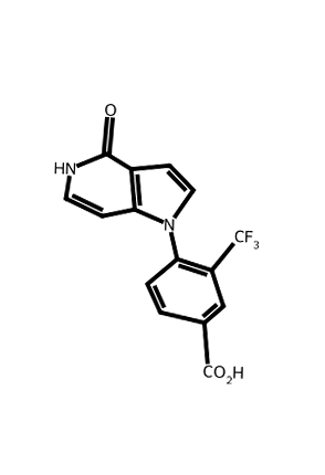 O=C(O)c1ccc(-n2ccc3c(=O)[nH]ccc32)c(C(F)(F)F)c1